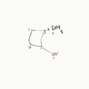 SC1CCS1.[GeH4]